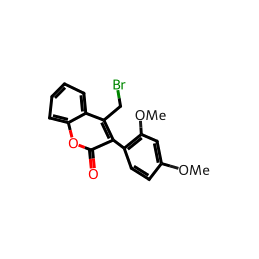 COc1ccc(-c2c(CBr)c3ccccc3oc2=O)c(OC)c1